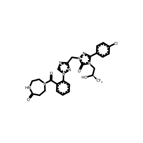 O=C1CCN(C(=O)c2ccccc2-n2cnc(Cn3nc(-c4ccc(Cl)cc4)n(C[C@H](O)C(F)(F)F)c3=O)n2)CCN1